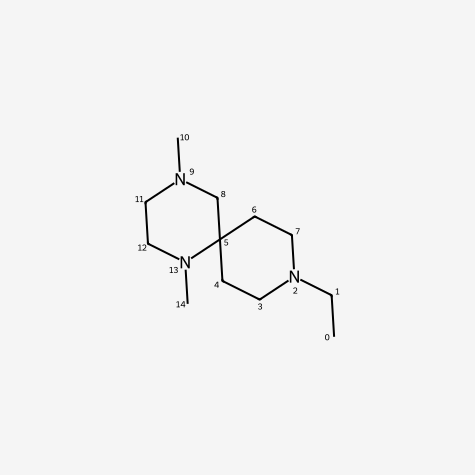 CCN1CCC2(CC1)CN(C)CCN2C